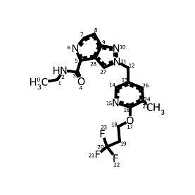 CCNC(=O)c1nccc2nn(Cc3cnc(OCCC(F)(F)F)c(C)c3)cc12